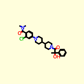 CN(C)C(=O)c1ccc(N2CCC(C3CCN(C(=O)C(C)(O)c4ccccc4)CC3)CC2)cc1Cl